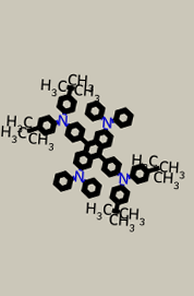 CC(C)(C)c1ccc(N(c2ccc(-c3c4ccc(N(c5ccccc5)c5ccccc5)cc4c(-c4ccc(N(c5ccc(C(C)(C)C)cc5)c5ccc(C(C)(C)C)cc5)cc4)c4ccc(N(c5ccccc5)c5ccccc5)cc34)cc2)c2ccc(C(C)(C)C)cc2)cc1